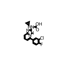 C1CC1.O=C(O)Nc1nc2cccc(-c3ccc(F)c(Cl)c3)n2n1